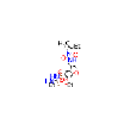 CCNC(=S)NS(=O)(=O)c1cc2c(cc1OCC)OCCC2CNC(=O)N1CC(C)=C(CC)C1=O